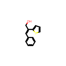 OCC(=Cc1ccccc1)c1cccs1